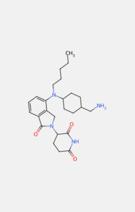 CCCCCN(c1cccc2c1CN(C1CCC(=O)NC1=O)C2=O)C1CCC(CN)CC1